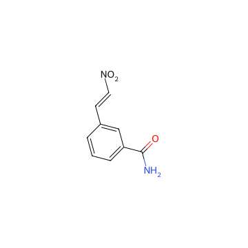 NC(=O)c1cccc(C=C[N+](=O)[O-])c1